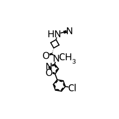 CN(c1cc(-c2cccc(Cl)c2)on1)C(=O)[C@H]1C[C@H](NC#N)C1